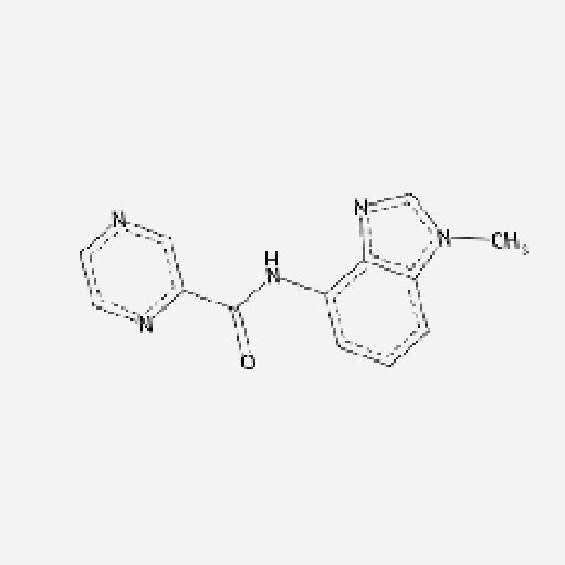 Cn1cnc2c(NC(=O)c3cnccn3)cccc21